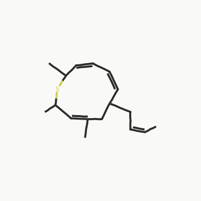 C/C=C\CC1/C=C\C=C/C(C)SC(C)/C=C(/C)C1